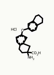 Cl.NC1(C(=O)O)CCc2ccc(Oc3ccc4c(c3)CCCC4)cc2C1